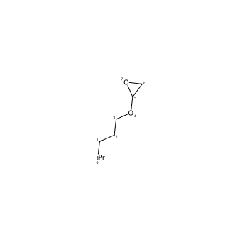 CC(C)CCCOC1CO1